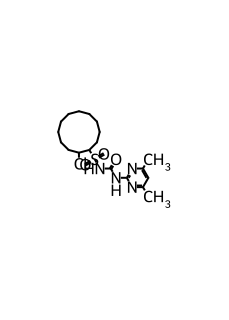 Cc1cc(C)nc(NC(=O)NS(=O)(=O)C2CCCCCCCCCCC2Cl)n1